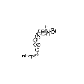 CCCCCCCOc1ccc(C(=O)Oc2ccc(CN(CC(=O)O)C(=O)c3ccc(NC(=O)C4CC=NO4)cc3)cc2)cc1